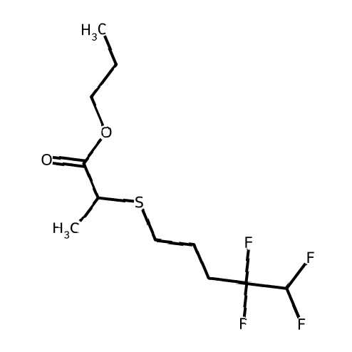 CCCOC(=O)C(C)SCCCC(F)(F)C(F)F